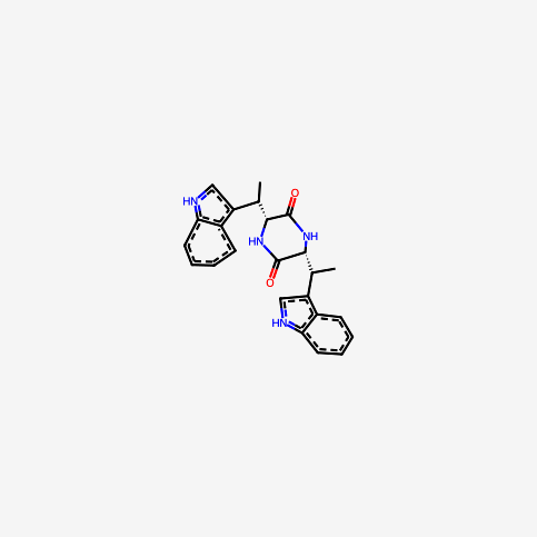 CC(c1c[nH]c2ccccc12)[C@H]1NC(=O)[C@@H](C(C)c2c[nH]c3ccccc23)NC1=O